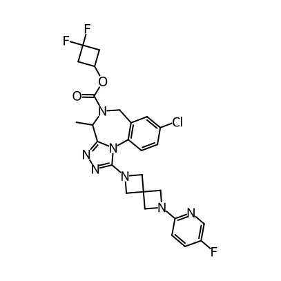 CC1c2nnc(N3CC4(CN(c5ccc(F)cn5)C4)C3)n2-c2ccc(Cl)cc2CN1C(=O)OC1CC(F)(F)C1